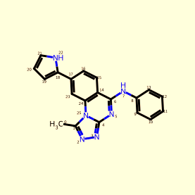 Cc1nnc2nc(Nc3ccccc3)c3ccc(-c4ccc[nH]4)cc3n12